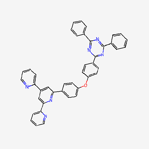 c1ccc(-c2nc(-c3ccccc3)nc(-c3ccc(Oc4ccc(-c5cc(-c6ccccn6)cc(-c6ccccn6)n5)cc4)cc3)n2)cc1